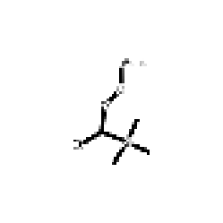 CCCCCOOC(CC)[Si](C)(C)C